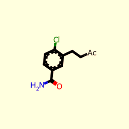 CC(=O)CCc1cc(C(N)=O)ccc1Cl